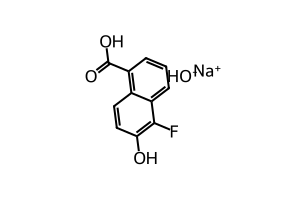 O=C(O)c1cccc2c(F)c(O)ccc12.[Na+].[OH-]